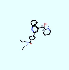 CCCN(CCC)C(=O)c1ccc(-c2cc([C@@H](O)[C@@H]3CCCCN3)c3ccccc3n2)cc1